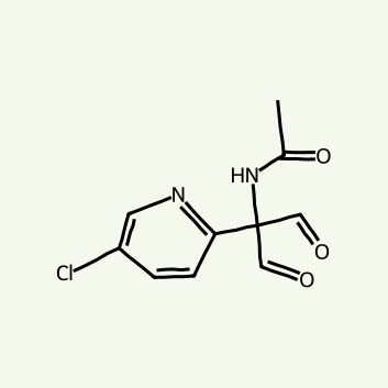 CC(=O)NC(C=O)(C=O)c1ccc(Cl)cn1